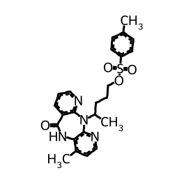 Cc1ccc(S(=O)(=O)OCCCC(C)N2c3ncccc3C(=O)Nc3c(C)ccnc32)cc1